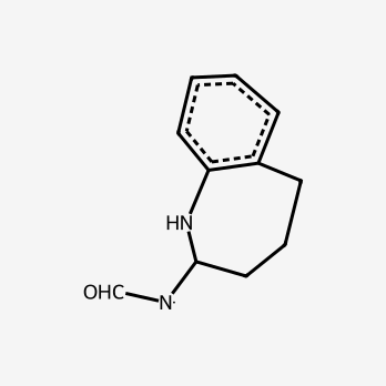 O=C[N]C1CCCc2ccccc2N1